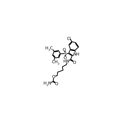 Cc1cc(C)cc(S(=O)(=O)c2c(C(=O)NCCCCCOC(N)=O)[nH]c3ccc(Cl)cc23)c1